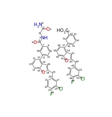 NC(=O)CNC(=O)c1cccc(-c2cccc3oc(Cc4ccc(F)c(Cl)c4)cc23)c1.O=C(O)c1cccc(-c2cccc3oc(Cc4ccc(F)c(Cl)c4)cc23)c1